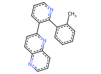 Cc1ccccc1-c1ncccc1-c1ccc2ncccc2n1